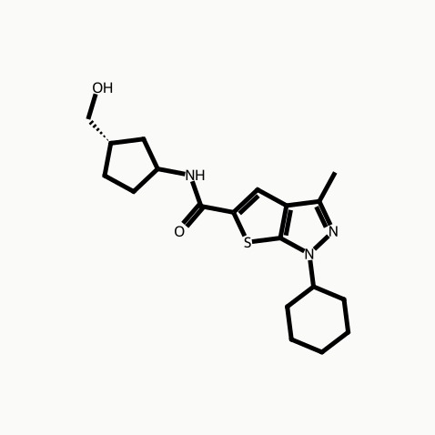 Cc1nn(C2CCCCC2)c2sc(C(=O)NC3CC[C@H](CO)C3)cc12